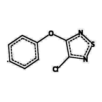 Clc1nsnc1Oc1cc[c]cc1